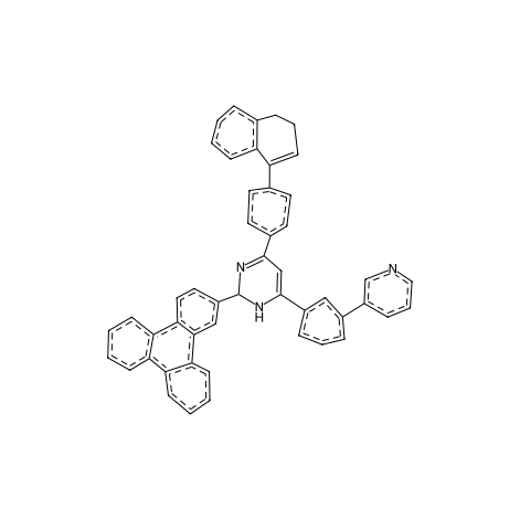 C1=C(c2cccc(-c3cccnc3)c2)NC(c2ccc3c4ccccc4c4ccccc4c3c2)N=C1c1ccc(C2=CCCc3ccccc32)cc1